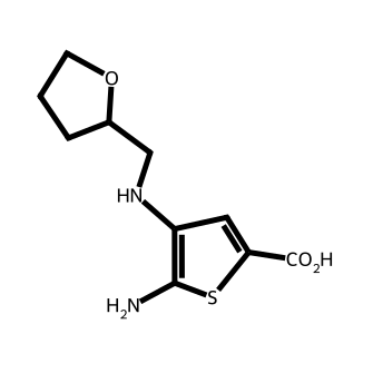 Nc1sc(C(=O)O)cc1NCC1CCCO1